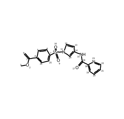 C=C(OC)c1ccc(S(=O)(=O)n2ccc(NC(=O)c3ccccn3)c2)cc1